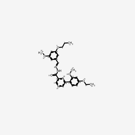 CCCOc1cc(/C=N/NC(=O)c2cncc(-c3ccc(OCC)cc3OC)n2)cc(OC)c1